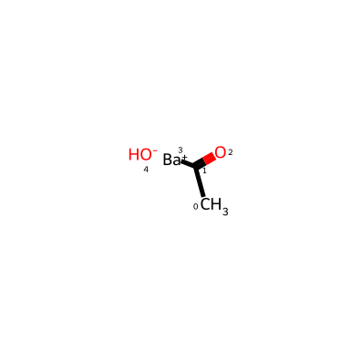 C[C](=O)[Ba+].[OH-]